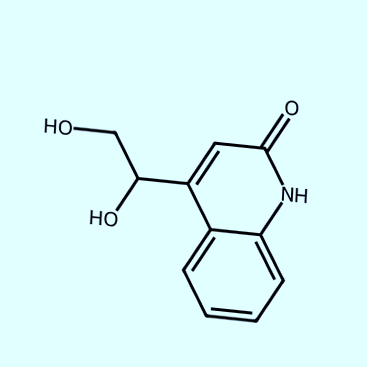 O=c1cc(C(O)CO)c2ccccc2[nH]1